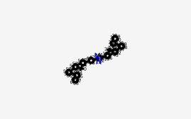 CC1(C)c2cc(-c3ccc(-c4ncc(-c5ccc6c(c5)C(C)(C)c5cc(-c7ccccc7-c7cccc8ccccc78)ccc5-6)cn4)cc3)ccc2-c2ccc(-c3ccccc3-c3cccc4ccccc34)cc21